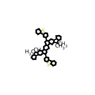 CC1(C)c2ccccc2-c2cc3c(-c4ccc5sc6ccccc6c5c4)cc4cc5c(cc(-c6ccc7sc8ccccc8c7c6)c6cc7c(cc65)C(C)(C)c5ccccc5-7)cc4c3cc21